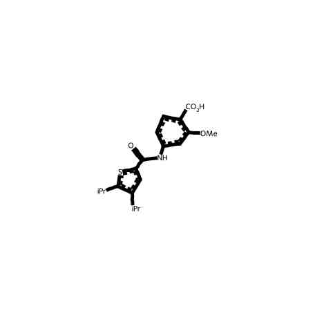 COc1cc(NC(=O)c2cc(C(C)C)c(C(C)C)s2)ccc1C(=O)O